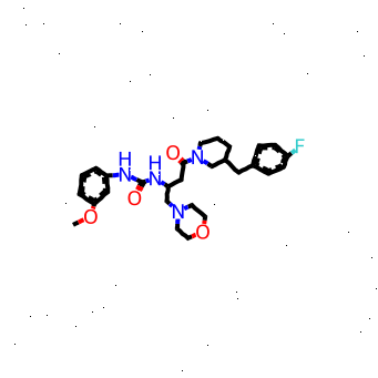 COc1cccc(NC(=O)NC(CC(=O)N2CCCC(Cc3ccc(F)cc3)C2)CN2CCOCC2)c1